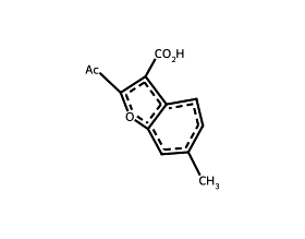 CC(=O)c1oc2cc(C)ccc2c1C(=O)O